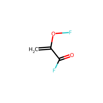 C=C(OF)C(=O)F